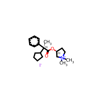 C[C@@](C(=O)O[C@H]1CC[N+](C)(C)C1)(c1ccccc1)C1CCCC1.[I-]